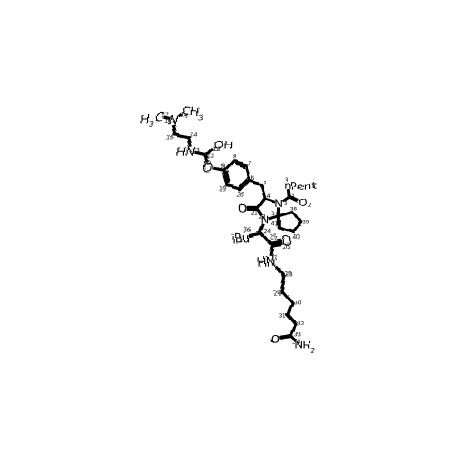 CCCCCC(=O)N1C(Cc2ccc(OC(O)NCCN(C)C)cc2)C(=O)N(C(C(=O)NCCCCCC(N)=O)C(C)CC)C12CCCC2